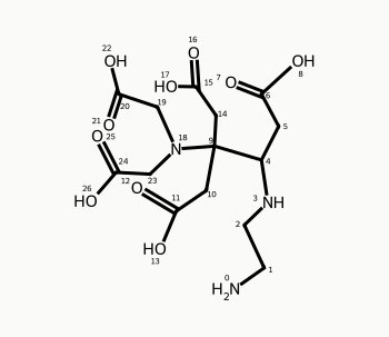 NCCNC(CC(=O)O)C(CC(=O)O)(CC(=O)O)N(CC(=O)O)CC(=O)O